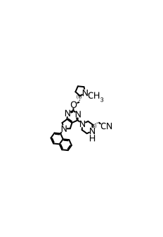 CN1CCC[C@H]1COc1nc2c(c(N3CCN[C@@H](CC#N)C3)n1)CN(c1cccc3ccccc13)C2